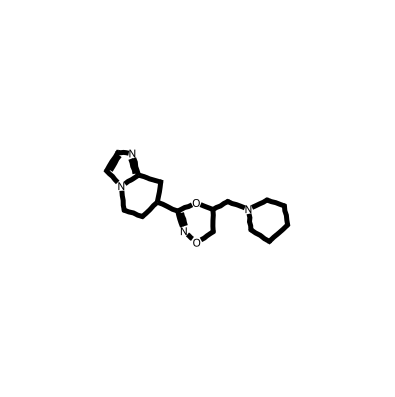 c1cn2c(n1)CC(C1=NOCC(CN3CCCCC3)O1)CC2